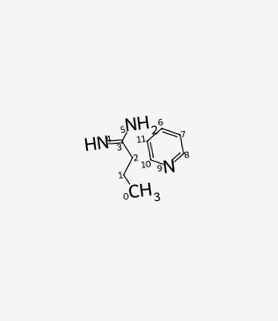 CCCC(=N)N.c1ccncc1